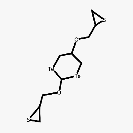 C1[Te]C(OCC2CS2)[Te]CC1OCC1CS1